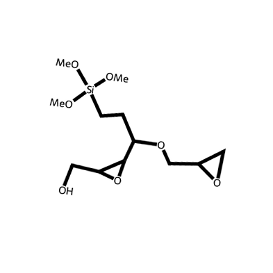 CO[Si](CCC(OCC1CO1)C1OC1CO)(OC)OC